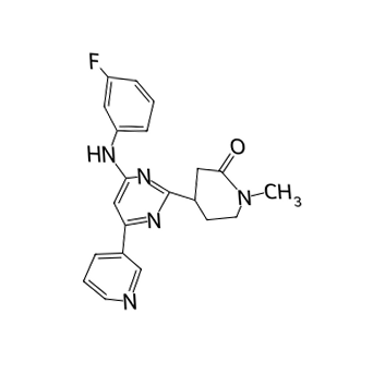 CN1CCC(c2nc(Nc3cccc(F)c3)cc(-c3cccnc3)n2)CC1=O